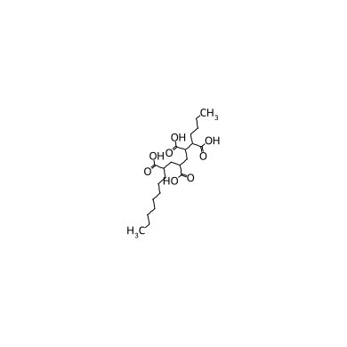 CCCCCCCCC(CC(CC(C(=O)O)C(CCCC)C(=O)O)C(=O)O)C(=O)O